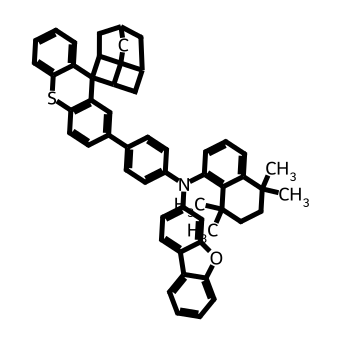 CC1(C)CCC(C)(C)c2c(N(c3ccc(-c4ccc5c(c4)C4(c6ccccc6S5)C5CC6CC7CC4C75C6)cc3)c3ccc4c(c3)oc3ccccc34)cccc21